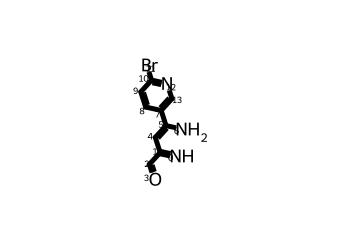 N=C(C=O)/C=C(\N)c1ccc(Br)nc1